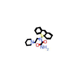 NC(=O)C(=O)N(CCN1CCCCC1)S1=c2ccccc2=Cc2ccccc21